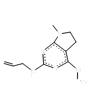 C=CCNc1nc(NOC)c2c(n1)N(C)CC2